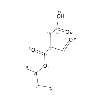 CCC(C)OC(=O)C(C=O)CC(=O)O